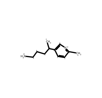 Cc1ccc(C(C)CCCN)cn1